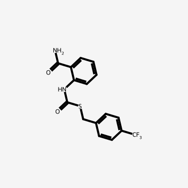 NC(=O)c1ccccc1NC(=O)SCc1ccc(C(F)(F)F)cc1